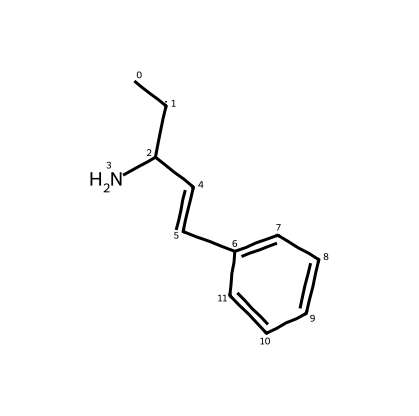 C[CH]C(N)C=Cc1ccccc1